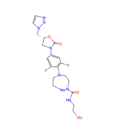 O=C(NCCO)N1CCN(c2c(F)cc(N3C[C@H](Cn4ccnn4)OC3=O)cc2F)CCN1